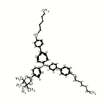 CCCCCCOc1ccc(-c2ccc(N(c3ccc(B4OC(C)(C)C(C)(C)O4)cc3)c3ccc(-c4ccc(OCCCCCC)cc4)cc3)cc2)cc1